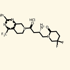 CC(C)c1nc2c(c(C(F)(F)F)n1)CCN(C(=O)C[C@H](N)CN1CC(F)(F)CCC1=O)C2.Cl